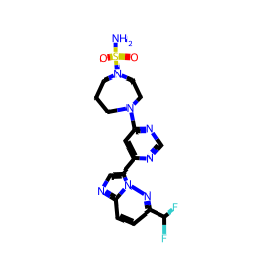 NS(=O)(=O)N1CCCN(c2cc(-c3cnc4ccc(C(F)F)nn34)ncn2)CC1